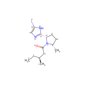 CC[C@H](C)CC(=O)N1[C@@H](C)CC[C@H]1c1ncc(I)[nH]1